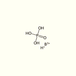 O=P(O)(O)O.[B+3].[H+]